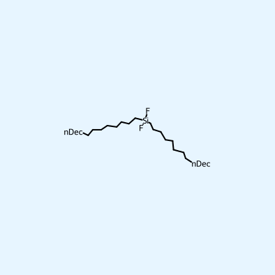 CCCCCCCCCCCCCCCCCC[Si](F)(F)CCCCCCCCCCCCCCCCCC